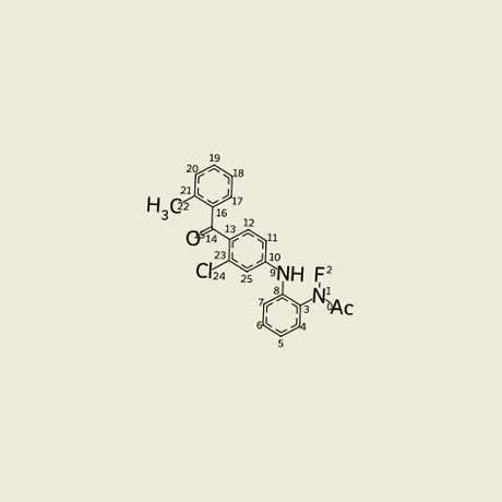 CC(=O)N(F)c1ccccc1Nc1ccc(C(=O)c2ccccc2C)c(Cl)c1